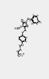 CCCn1c(CCc2ccc(OCCCC(=O)O)cc2)nn(Cc2ccc(C)cc2)c1=O